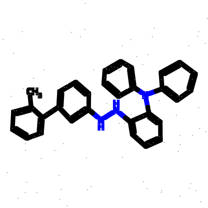 Cc1ccccc1-c1cccc(NNc2ccccc2N(c2ccccc2)c2ccccc2)c1